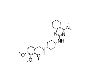 COc1ccc(CN[C@H]2CC[C@@H](Nc3nc4c(c(N(C)C)n3)CCCC4)CC2)c(OC)c1OC